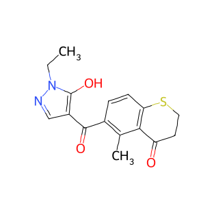 CCn1ncc(C(=O)c2ccc3c(c2C)C(=O)CCS3)c1O